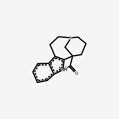 COC(=O)C12CCCN(CCc3c1[nH]c1ccccc31)C2